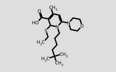 CCSC1C(C(=O)O)=C(C)C=C(N2CCOCC2)N1CCCCC(C)(C)C